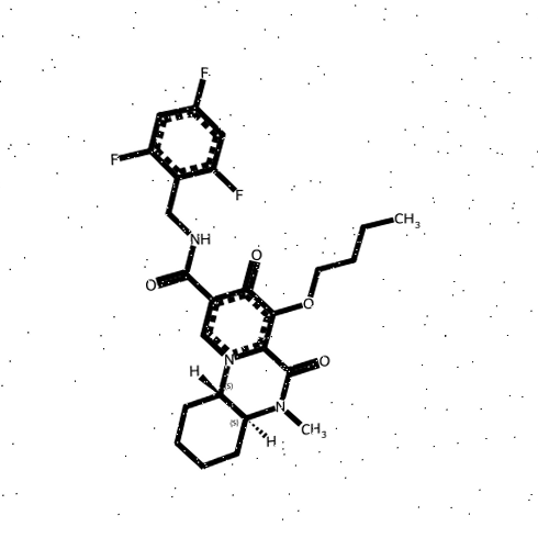 CCCCOc1c2n(cc(C(=O)NCc3c(F)cc(F)cc3F)c1=O)[C@H]1CCCC[C@@H]1N(C)C2=O